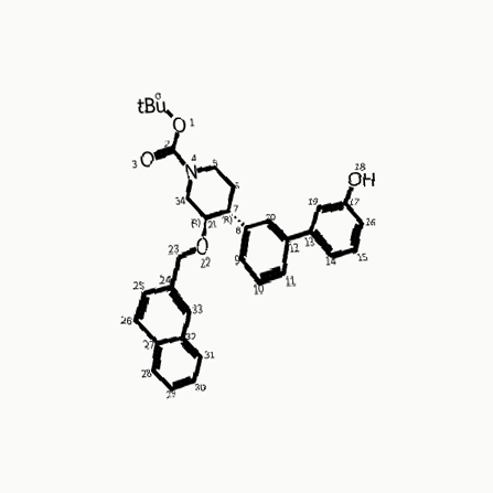 CC(C)(C)OC(=O)N1CC[C@H](c2cccc(-c3cccc(O)c3)c2)[C@@H](OCc2ccc3ccccc3c2)C1